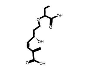 C=C(/C=C\[C@@H](O)CCOC(CC)C(=O)O)C(=O)O